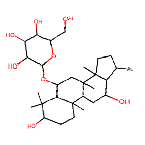 CC(=O)C1CCC2(C)C1C(O)CC1C3(C)CCC(O)C(C)(C)C3C(OC3OC(CO)C(O)C(O)C3O)CC12C